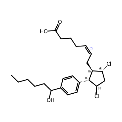 CCCCCC(O)c1ccc([C@@H]2[C@@H](C/C=C\CCCC(=O)O)[C@H](Cl)C[C@H]2Cl)cc1